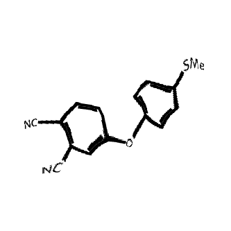 CSc1ccc(Oc2ccc(C#N)c(C#N)c2)cc1